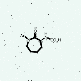 CC(=O)N1CCCC[C@H](NC(=O)O)C1=O